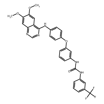 COc1cc2ncnc(Nc3ccc(Oc4cccc(NC(=O)Nc5cccc(C(F)(F)F)c5)c4)cc3)c2cc1OC